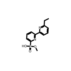 CCc1cccc(-c2cccc(P(=O)(O)OC)n2)n1